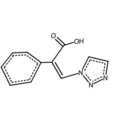 O=C(O)C(=Cn1ccnn1)c1ccccc1